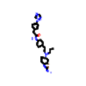 CCCN(CCC1CCC(NC(=O)Cc2ccc(-n3cncn3)cc2)CC1)[C@H]1CCc2nc(N)sc2C1